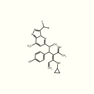 C=C/C(NC1CC1)=C(/C(C)=N)C(c1ccc(Cl)cc1)N(C)c1cc(C)c2nnc(C(F)F)n2n1